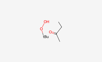 CC(C)(C)OO.CCC(C)=O